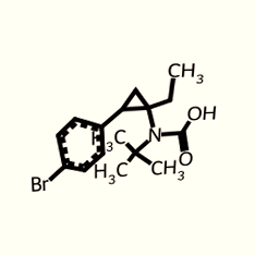 CCC1(N(C(=O)O)C(C)(C)C)CC1c1ccc(Br)cc1